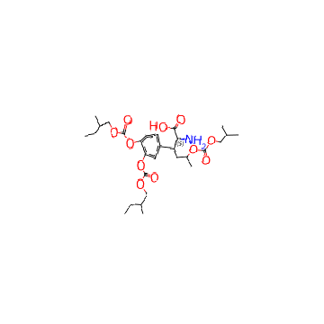 CCC(C)COC(=O)Oc1ccc(C(CC(C)OC(=O)OCC(C)C)[C@H](N)C(=O)O)cc1OC(=O)OCC(C)CC